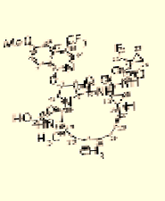 COc1ccc2c(O[C@@H]3C[C@H]4C(=O)N[C@]5(C(=O)NS(=O)(=O)C6(CF)CC6)C[C@H]5/C=C\CC[C@H](C)C[C@@H](C)[C@H](NC(=O)O)C(=O)N4C3)ncc(C(F)(F)F)c2c1